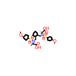 COc1ccc(S(=O)(=O)N(Cc2ccccc2CN([C@H](C)C(=O)O)S(=O)(=O)c2ccc(OC)cc2)[C@H](C)C(=O)O)cc1